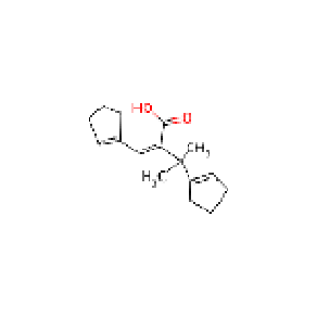 CC(C)(C1=CCCC1)C(=CC1=CCCC1)C(=O)O